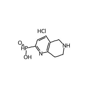 Cl.O=[PH](O)c1ccc2c(n1)CCNC2